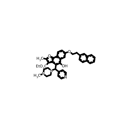 CCOC(=O)c1c(C)oc2c1c(C(c1ccncc1)N1CCN(C)CC1)c(O)c1cc(OCCc3ccc4ccccc4c3)ccc12